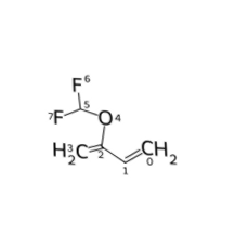 C=CC(=C)OC(F)F